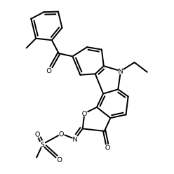 CCn1c2ccc(C(=O)c3ccccc3C)cc2c2c3c(ccc21)C(=O)/C(=N/OS(C)(=O)=O)O3